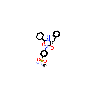 CC(C)NS(=O)(=O)c1ccc(NC(=O)[C@H](Cc2ccccc2)NC(=O)C2CCCCC2)cc1